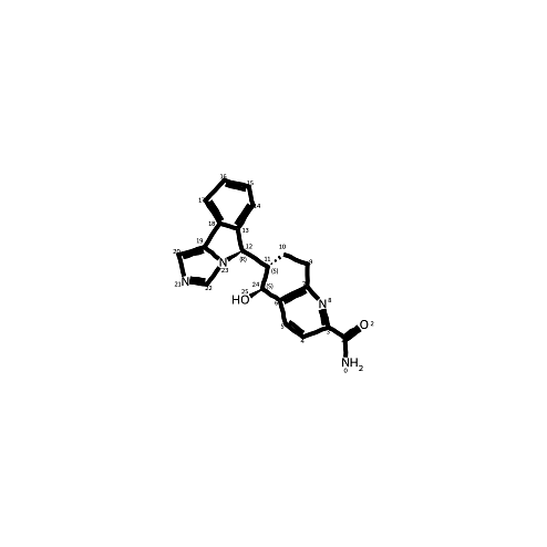 NC(=O)c1ccc2c(n1)CC[C@@H]([C@@H]1c3ccccc3-c3cncn31)[C@@H]2O